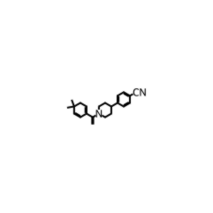 C=C(C1=CCC(C)(C)C=C1)N1CCC(c2ccc(C#N)cc2)CC1